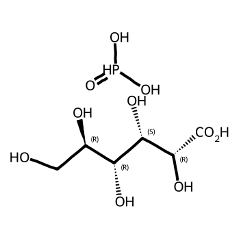 O=C(O)[C@H](O)[C@@H](O)[C@H](O)[C@H](O)CO.O=[PH](O)O